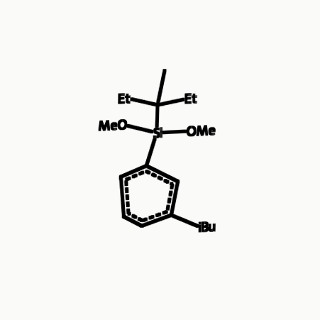 CCC(C)c1cccc([Si](OC)(OC)C(C)(CC)CC)c1